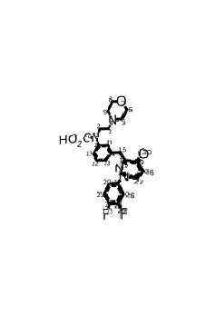 O=C(O)N(CCN1CCOCC1)c1cccc(Cc2nn(-c3ccc(F)c(F)c3)ccc2=O)c1